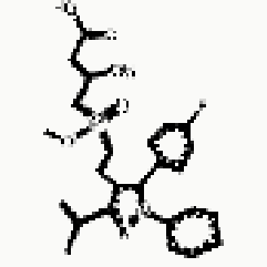 COP(=O)(CCc1c(C(C)C)nn(-c2ccccc2)c1-c1ccc(F)cc1)CC(O)CC(=O)O